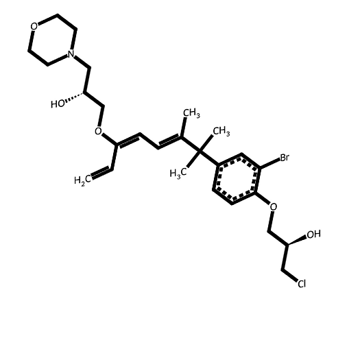 C=C/C(=C\C=C(/C)C(C)(C)c1ccc(OC[C@@H](O)CCl)c(Br)c1)OC[C@H](O)CN1CCOCC1